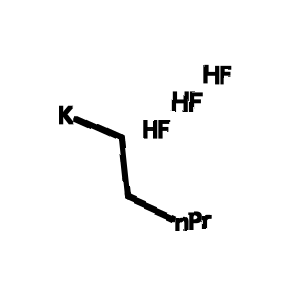 CCCC[CH2][K].F.F.F